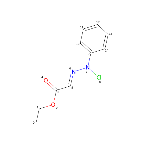 CCOC(=O)C=NN(Cl)c1ccccc1